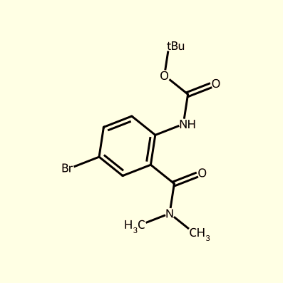 CN(C)C(=O)c1cc(Br)ccc1NC(=O)OC(C)(C)C